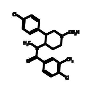 CN(C(=O)c1ccc(Cl)c(C(F)(F)F)c1)C1CCN(C(=O)O)CC1c1ccc(Cl)cc1